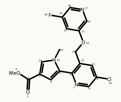 COC(=O)c1cc(-c2ncc(Cl)cc2COc2cncc(F)c2)n(C)c1